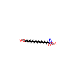 O=C(CCCCCCCCCCCCCCCCO)NO